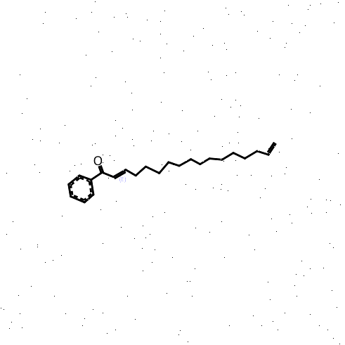 C=CCCCCCCCCCCCC/C=C/C(=O)c1ccccc1